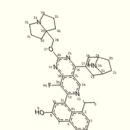 CCc1cccc2cc(O)cc(-c3ncc4c(C5=CC6CCC(C5)N6)nc(OCC56CCCN5CCC6)nc4c3F)c12